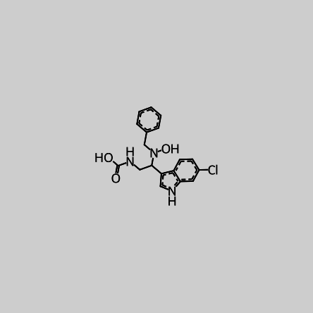 O=C(O)NCC(c1c[nH]c2cc(Cl)ccc12)N(O)Cc1ccccc1